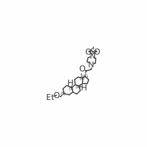 CCOC[C@H]1CC[C@H]2C(CC[C@@H]3C2CC[C@@]2(C)C3CC[C@@H]2C(=O)CN2CCN(S(C)(=O)=O)CC2)C1